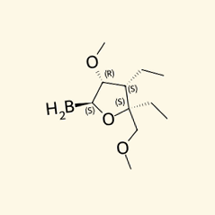 B[C@@H]1O[C@](CC)(COC)[C@@H](CC)[C@H]1OC